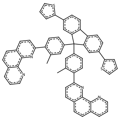 Cc1cc(C2(c3ccc(-c4ccc5ccc6cccnc6c5n4)c(C)c3)c3cc(-c4cccs4)ccc3-c3ccc(-c4cccs4)cc32)ccc1-c1ccc2ccc3cccnc3c2n1